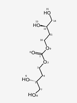 O=C(OCC[C@@H](O)CO)OCC[C@@H](O)CO